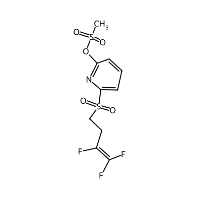 CS(=O)(=O)Oc1cccc(S(=O)(=O)CCC(F)=C(F)F)n1